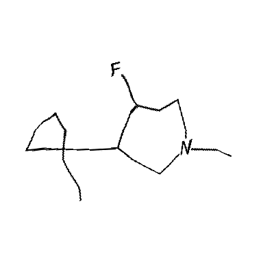 CN1CC(F)C(C2(C)CC2)C1